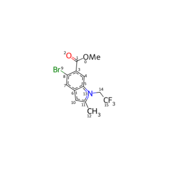 COC(=O)c1cc2c(cc1Br)cc(C)n2CC(F)(F)F